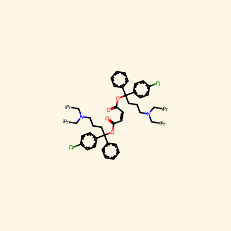 CC(C)CN(CCCC(OC(=O)/C=C\C(=O)OC(CCCN(CC(C)C)CC(C)C)(c1ccccc1)c1ccc(Cl)cc1)(c1ccccc1)c1ccc(Cl)cc1)CC(C)C